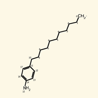 [CH2]CCCCCCCCCCc1ccc(N)cc1